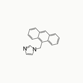 c1ccc2c(Cn3ccnc3)c3ccccc3cc2c1